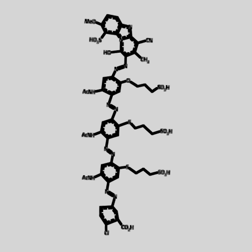 COc1ccc2nc3c(C#N)c(C)c(N=Nc4cc(NC(C)=O)c(N=Nc5cc(NC(C)=O)c(N=Nc6cc(NC(C)=O)c(N=Nc7ccc(Cl)c(C(=O)O)c7)cc6SCCCS(=O)(=O)O)cc5SCCCS(=O)(=O)O)cc4OCCCS(=O)(=O)O)c(O)n3c2c1S(=O)(=O)O